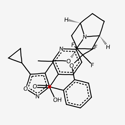 Cc1nc(N2[C@@H]3CC[C@H]2C[C@H](OCc2c(-c4ccccc4OC(F)(F)F)noc2C2CC2)C3)ccc1C(=O)O